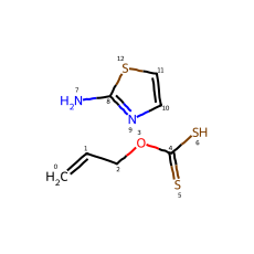 C=CCOC(=S)S.Nc1nccs1